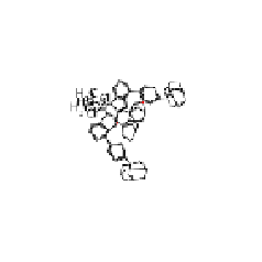 C[SiH](C)[Zr]([Cl])([Cl])([CH]1C(CC23CCC(CC2)C3)=Cc2c(-c3ccc(C45CC6CC(CC(C6)C4)C5)cc3)cccc21)[CH]1C(CC23CCC(CC2)C3)=Cc2c(-c3ccc(C45CC6CC(CC(C6)C4)C5)cc3)cccc21